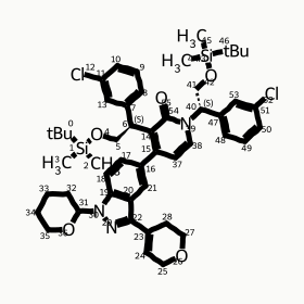 CC(C)(C)[Si](C)(C)OC[C@@H](c1cccc(Cl)c1)c1c(-c2ccc3c(c2)c(C2=CCOCC2)nn3C2CCCCO2)ccn([C@H](CO[Si](C)(C)C(C)(C)C)c2cccc(Cl)c2)c1=O